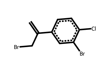 C=C(CBr)c1ccc(Cl)c(Br)c1